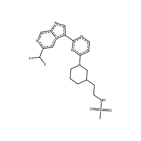 CS(=O)(=O)NCCC1CCCN(c2ccnc(-c3cnc4cnc(C(F)F)cn34)n2)C1